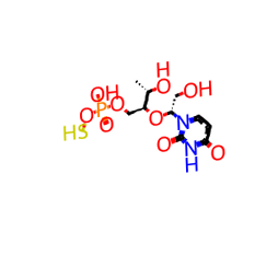 C[C@H](O)[C@H](COP(=O)(O)OS)O[C@H](CO)n1ccc(=O)[nH]c1=O